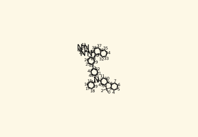 CC1(C)c2ccccc2-c2ccc(N(c3ccccc3)c3ccc(-c4ccc5c(c4)c4c6ccccc6ccc4n5-c4ncncn4)cc3)cc21